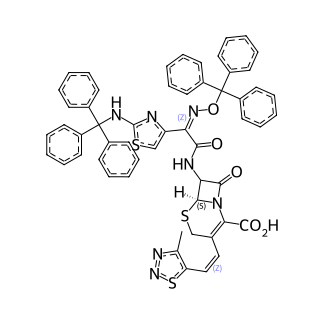 Cc1nnsc1/C=C\C1=C(C(=O)O)N2C(=O)C(NC(=O)/C(=N\OC(c3ccccc3)(c3ccccc3)c3ccccc3)c3csc(NC(c4ccccc4)(c4ccccc4)c4ccccc4)n3)[C@@H]2SC1